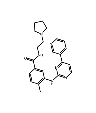 Cc1ccc(C(=O)NCCN2CCCC2)cc1Nc1nccc(-c2cccnc2)n1